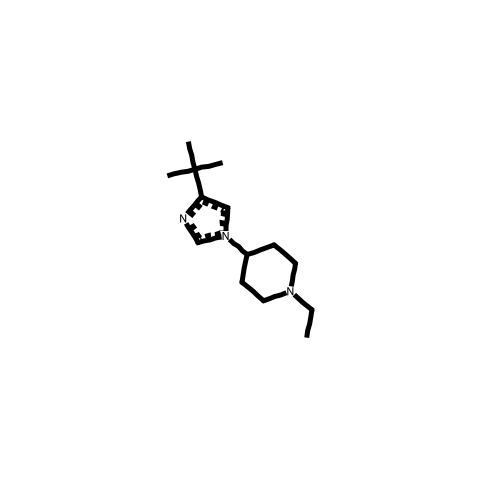 CCN1CCC(n2cnc(C(C)(C)C)c2)CC1